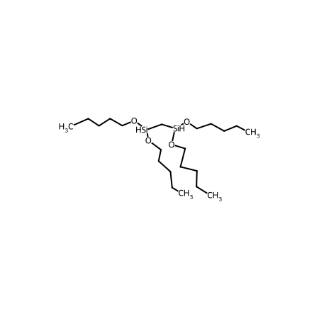 CCCCCO[SiH](C[SiH](OCCCCC)OCCCCC)OCCCCC